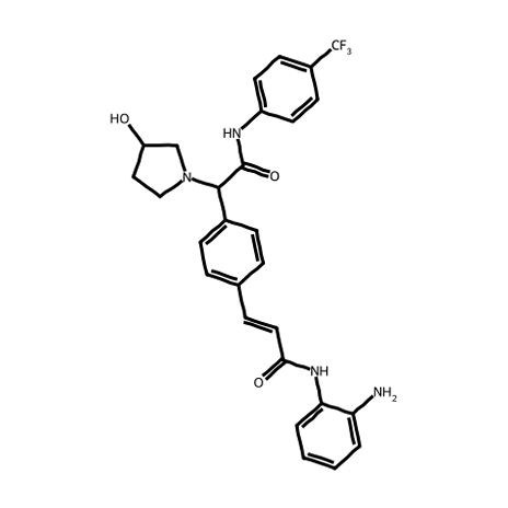 Nc1ccccc1NC(=O)C=Cc1ccc(C(C(=O)Nc2ccc(C(F)(F)F)cc2)N2CCC(O)C2)cc1